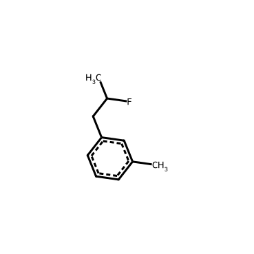 Cc1cccc(CC(C)F)c1